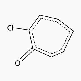 O=c1cccccc1Cl